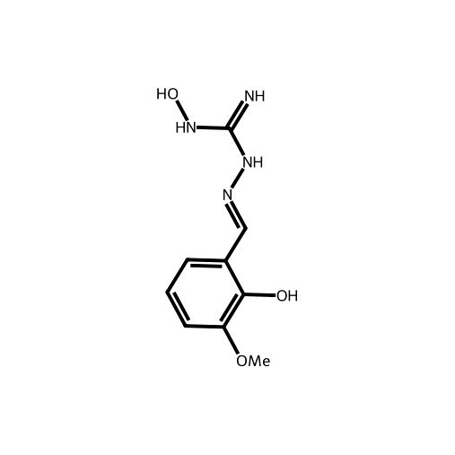 COc1cccc(/C=N/NC(=N)NO)c1O